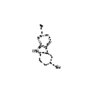 CC(C)(C)C1CCc2[nH]c3cc(Br)ccc3c2C1